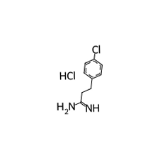 Cl.N=C(N)CCc1ccc(Cl)cc1